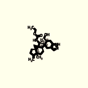 C=C1CC[C@@]23CC2(CNC(=O)OCC)[C@@H]([C@@]2(C)Cc4cn[nH]c4C[C@@H]2CO)CC[C@]13C